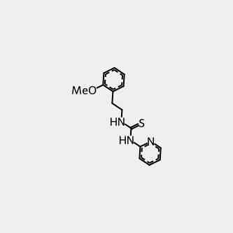 COc1ccccc1CCNC(=S)Nc1ccccn1